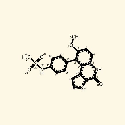 COc1ccc2[nH]c(=O)c3sccc3c2c1-c1ccc(NS(C)(=O)=O)cc1